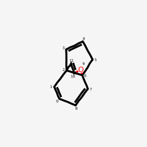 C1=CC23C=CCC2(C=C1)OC=C3